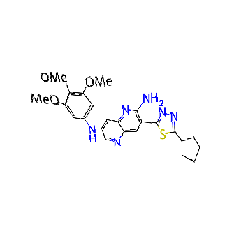 COc1cc(Nc2cnc3cc(-c4nnc(C5CCCC5)s4)c(N)nc3c2)cc(OC)c1OC